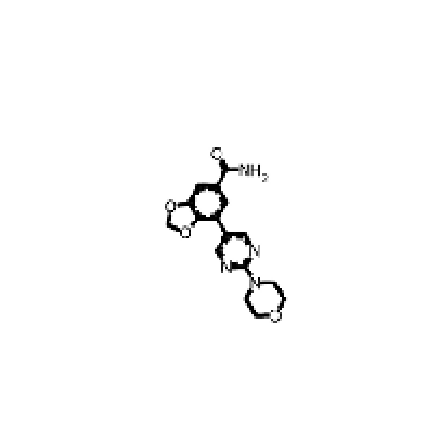 NC(=O)c1cc2c(c(-c3cnc(N4CCOCC4)nc3)c1)OCO2